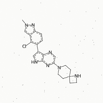 Cn1cc2c(Cl)c(-c3c[nH]c4nc(N5CCC6(CCN6)CC5)cnc34)ccc2n1